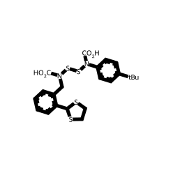 CC(C)(C)c1ccc(N(SSN(Cc2ccccc2C2SCCS2)C(=O)O)C(=O)O)cc1